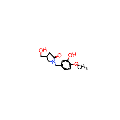 COc1ccc(CN2CC(CO)CC2=O)cc1O